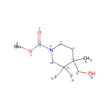 CC(C)(C)OC(=O)N1CCC(C)(CO)C(F)(F)C1